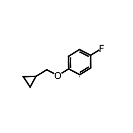 Fc1c[c]c(OCC2CC2)cc1